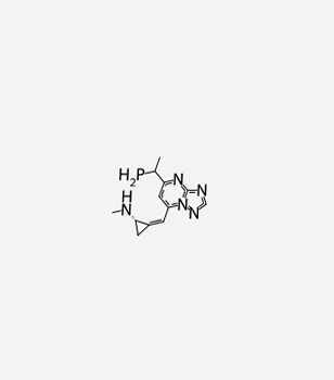 CN[C@H]1C/C1=C/c1cc(C(C)P)nc2ncnn12